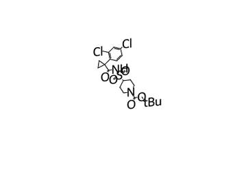 CC(C)(C)OC(=O)N1CCC(S(=O)(=O)NC(=O)C2(c3ccc(Cl)cc3Cl)CC2)CC1